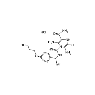 CCCC(NC(=N)N1C(N)=C(Cl)NC(C(N)=O)=C1N)c1ccc(OCCCO)cc1.Cl